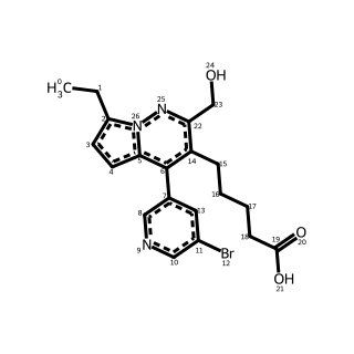 CCc1ccc2c(-c3cncc(Br)c3)c(CCCCC(=O)O)c(CO)nn12